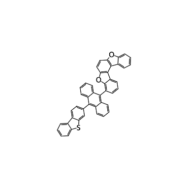 c1ccc2c(c1)oc1ccc3oc4c(-c5c6ccccc6c(-c6ccc7c(c6)sc6ccccc67)c6ccccc56)cccc4c3c12